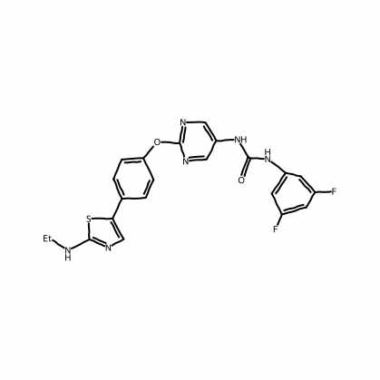 CCNc1ncc(-c2ccc(Oc3ncc(NC(=O)Nc4cc(F)cc(F)c4)cn3)cc2)s1